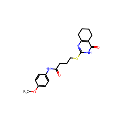 O=C(CCCSc1nc2c(c(=O)[nH]1)CCCC2)Nc1ccc(OC(F)(F)F)cc1